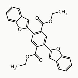 CCOC(=O)c1cc(-c2cc3ccccc3o2)c(C(=O)OCC)cc1-c1cc2ccccc2o1